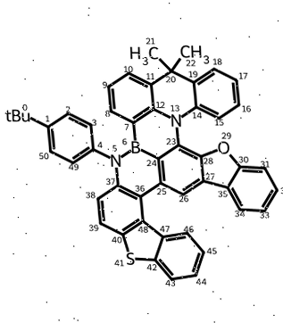 CC(C)(C)c1ccc(N2B3c4cccc5c4N(c4ccccc4C5(C)C)c4c3c(cc3c4oc4ccccc43)-c3c2ccc2sc4ccccc4c32)cc1